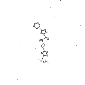 C[C@@H](O)c1noc(C2CC(NC(=O)c3cc(-c4ccccc4)on3)C2)n1